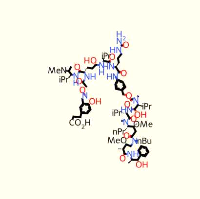 CCCCN(C[C@H](OC)[C@@H](C)C(=O)N[C@H](C)[C@@H](O)c1ccccc1)C(=O)C[C@@H](OC)[C@H](CCC)N(C)C(=O)[C@@H](NC(O)[C@H](C(C)C)N(C)C(=O)OCc1ccc(NC(=O)[C@H](CCCNC(N)=O)NC(=O)[C@@H](NC(O)CC[C@H](NC(=O)CO/N=C/c2cc(CCC(=O)O)ccc2O)C(=O)N[C@@H](C(C)C)C(C)NC)C(C)C)cc1)C(C)C